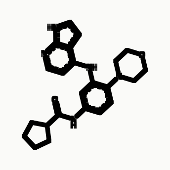 O=C(Nc1ccc(N2CCOCC2)c(Nc2ccnc3[nH]ccc23)c1)C1CCCC1